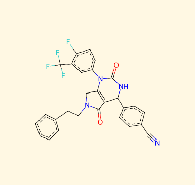 N#Cc1ccc(C2NC(=O)N(c3ccc(F)c(C(F)(F)F)c3)C3=C2C(=O)N(CCc2ccccc2)C3)cc1